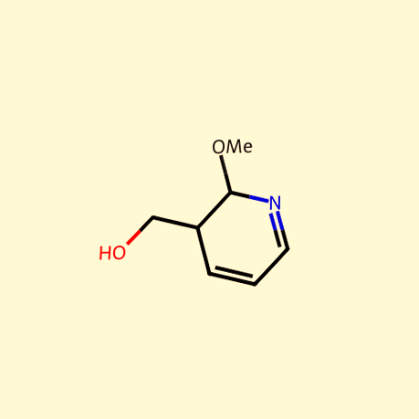 COC1N=CC=CC1CO